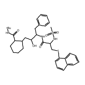 CC(C)(C)NC(=O)C1CCCCC1CC(O)C(Cc1ccccc1)NC(=O)C(CSc1cccc2ccccc12)NS(C)(=O)=O